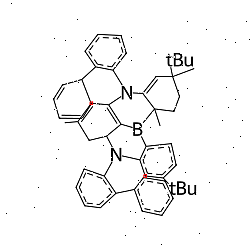 CC1=CC2=C3B(c4ccc(C(C)(C)C)cc4N(c4ccccc4-c4ccccc4)C3C1)C1(C)CCC(C)(C(C)(C)C)C=C1N2c1ccccc1C1C=CC=CC1